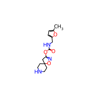 Cc1ccc(CNC(=O)OC2=NOC3(CCNCC3)C2)o1